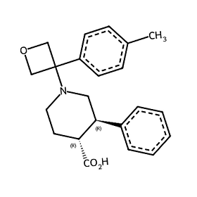 Cc1ccc(C2(N3CC[C@@H](C(=O)O)[C@H](c4ccccc4)C3)COC2)cc1